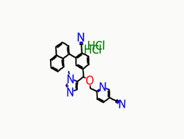 Cl.Cl.Cn1cncc1C(OCc1ccc(C#N)cn1)c1ccc(C#N)c(-c2cccc3ccccc23)c1